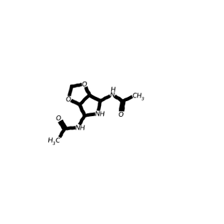 CC(=O)NC1NC(NC(C)=O)C2OCOC12